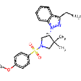 CCOc1ccc(S(=O)(=O)N2C[C@H](n3nc(CC(=O)O)c4ccccc43)C(C)(C)C2)cc1